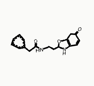 O=C1C=CC2=C(C1)OC(CCNC(=O)Cc1ccccc1)N2